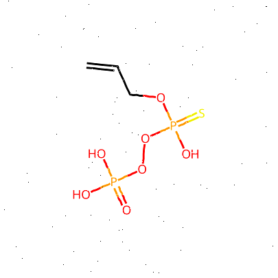 C=CCOP(O)(=S)OOP(=O)(O)O